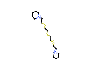 C1CCN(CCSCCSCCSCCN2CCCCC2)CC1